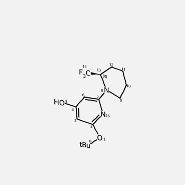 CC(C)(C)Oc1cc(O)cc(N2CCCC[C@@H]2C(F)(F)F)n1